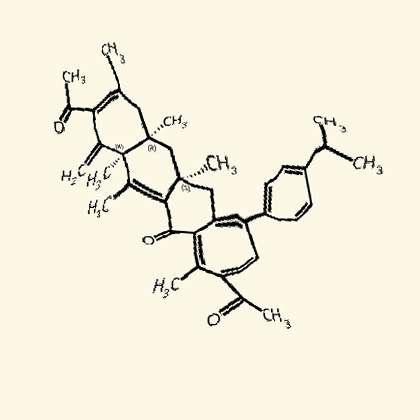 C=C1C(C(C)=O)=C(C)C[C@@]2(C)C[C@@]3(C)Cc4c(-c5ccc(C(C)C)cc5)cc(C(C)=O)c(C)c4C(=O)C3=C(C)[C@@]12C